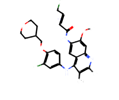 CCOc1cc2nc(CC)c(C#N)c(Nc3ccc(OCC4CCOCC4)c(Cl)c3)c2cc1NC(=O)/C=C/CCl